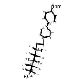 CCCCC[C@H]1CC[C@H]([C@H]2CC[C@H](CCC(F)(F)C(F)(F)C(F)(F)C(F)(F)C(F)(F)C(F)(F)F)CC2)CC1